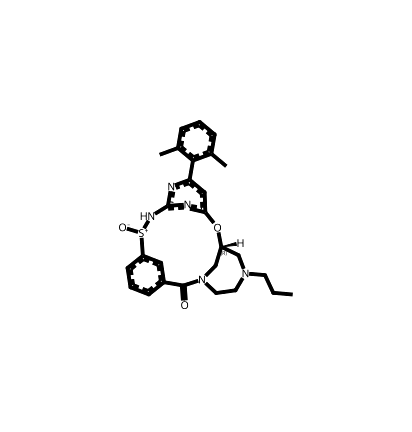 CCCN1CCN2C[C@@H](C1)Oc1cc(-c3c(C)cccc3C)nc(n1)N[S+]([O-])c1cccc(c1)C2=O